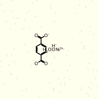 O.O=C([O-])c1ccc(C(=O)[O-])cc1.[Ni+3].[OH-]